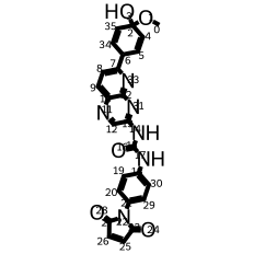 COC1(O)C=CC(c2ccc3ncc(NC(=O)Nc4ccc(N5C(=O)C=CC5=O)cc4)nc3n2)C=C1